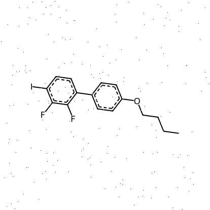 CCCCOc1ccc(-c2ccc(I)c(F)c2F)cc1